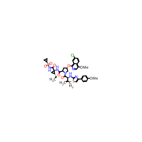 C=C[C@@H]1C[C@]1(NC(=O)C1C[C@@H](Oc2ncc(OC)c3ccc(Cl)cc23)CN1C(=O)[C@@H](Nc1nc(-c2ccc(OC)cc2)cs1)C(=C)C)C(=O)NS(=O)(=O)C1CC1